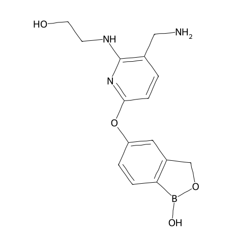 NCc1ccc(Oc2ccc3c(c2)COB3O)nc1NCCO